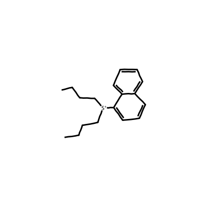 CCCC[S+](CCCC)c1cccc2ccccc12